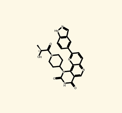 C[C@H](O)C(=O)N1CCC(n2c(=O)[nH]c(=O)c3cnc4ccc(-c5ccc6[nH]ncc6c5)nc4c32)CC1